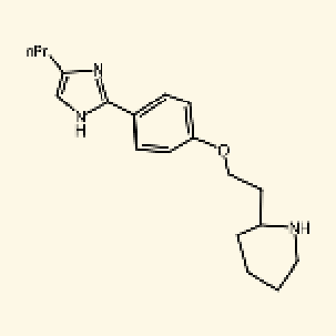 CCCc1c[nH]c(-c2ccc(OCCC3CCCCN3)cc2)n1